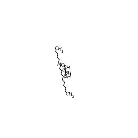 CCCCCCCCCCCCCCCCC.OBOBO